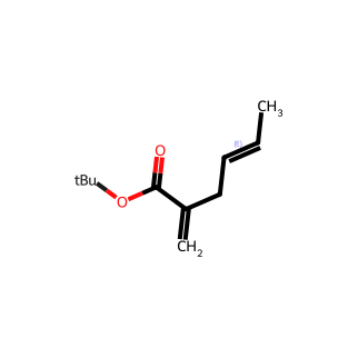 C=C(C/C=C/C)C(=O)OC(C)(C)C